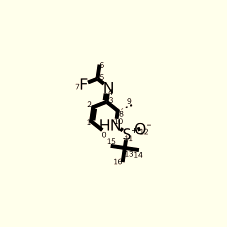 C/C=C\C(=N/C(C)F)[C@H](C)N[S+]([O-])C(C)(C)C